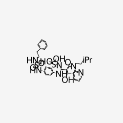 CC(C)CCn1c(=O)c(C2=NS(O)(O)c3cc(NS(=O)(=O)NCCc4ccccc4)ccc3N2)c(O)c2cccnc21